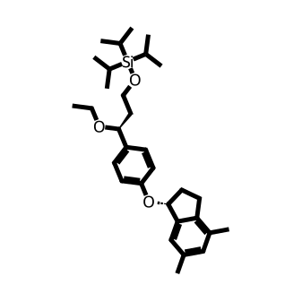 CCO[C@@H](CCO[Si](C(C)C)(C(C)C)C(C)C)c1ccc(O[C@@H]2CCc3c(C)cc(C)cc32)cc1